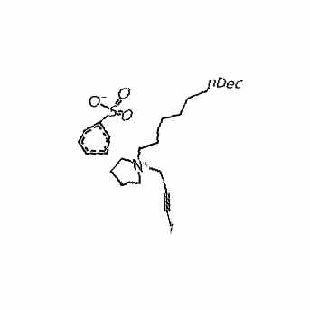 CCCCCCCCCCCCCCCC[N+]1(CC#CI)CCCC1.O=S(=O)([O-])c1ccccc1